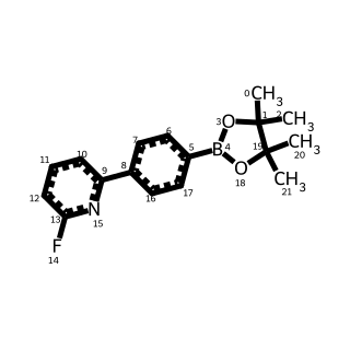 CC1(C)OB(c2ccc(-c3cccc(F)n3)cc2)OC1(C)C